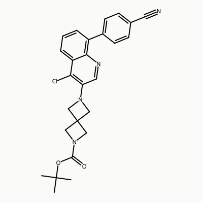 CC(C)(C)OC(=O)N1CC2(C1)CN(c1cnc3c(-c4ccc(C#N)cc4)cccc3c1Cl)C2